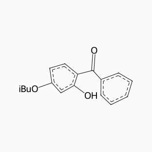 CC(C)COc1ccc(C(=O)c2ccccc2)c(O)c1